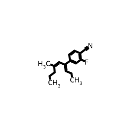 CC/C=C(/C=C(/C)CCC)c1ccc(C#N)c(F)c1